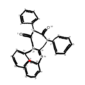 O=c1n(-c2ccccc2)c(=O)n(-c2ccccc2)c(=Nc2ccccc2)n1-c1ccccc1